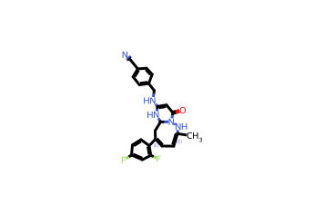 C/C1=C/C=C(/c2ccc(F)cc2F)CC2NC(NCc3ccc(C#N)cc3)=CC(=O)N2N1